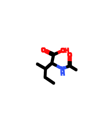 CCC(C)C(NC(C)=O)C(=O)O